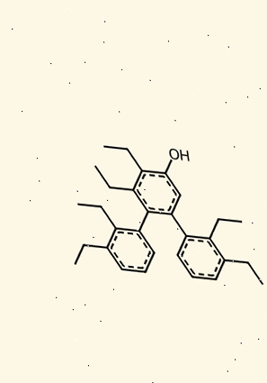 CCc1cccc(-c2cc(O)c(CC)c(CC)c2-c2cccc(CC)c2CC)c1CC